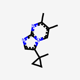 Cc1cn2c(C3(C)CC3)cnc2nc1C